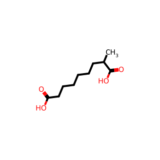 CC(CCCCCCC(=O)O)C(=O)O